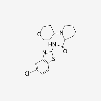 O=C(Nc1nc2cc(Cl)ccc2s1)C1CCCCN1C1CCOCC1